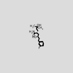 CC(C)(O)CC[C@H](C[C@@H](O)[CH]Cc1cccc(F)c1)C(N)=O